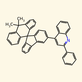 CC1(C)c2ccccc2C2(c3ccccc3-c3cc(-c4cc(-c5ccccc5)nc5ccccc45)ccc32)c2ccccc21